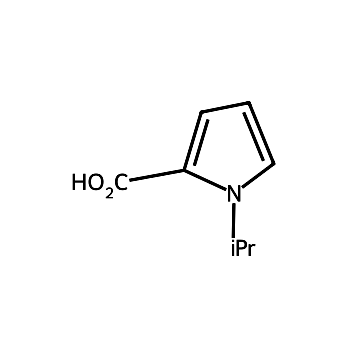 [CH2]C(C)n1cccc1C(=O)O